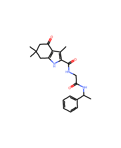 Cc1c(C(=O)NCC(=O)NC(C)c2ccccc2)[nH]c2c1C(=O)CC(C)(C)C2